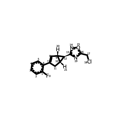 Fc1ccccc1C1=C[C@H]2[C@@H](C1)[C@@H]2c1noc(CCl)n1